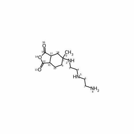 CC1(NCCNCCN)CCC2C(=O)OC(=O)C2C1